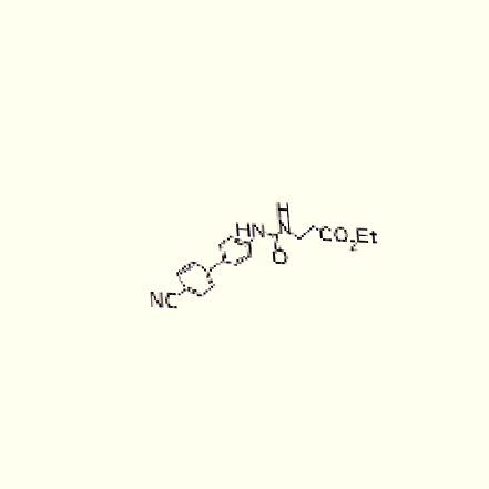 CCOC(=O)CCNC(=O)Nc1ccc(-c2ccc(C#N)cc2)cc1